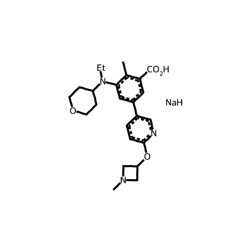 CCN(c1cc(-c2ccc(OC3CN(C)C3)nc2)cc(C(=O)O)c1C)C1CCOCC1.[NaH]